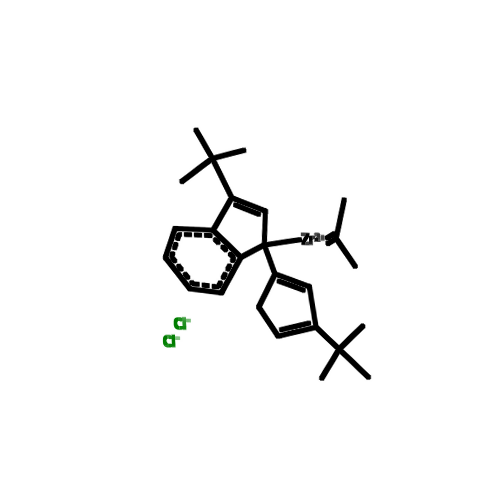 C[C](C)=[Zr+2][C]1(C2=CC(C(C)(C)C)=CC2)C=C(C(C)(C)C)c2ccccc21.[Cl-].[Cl-]